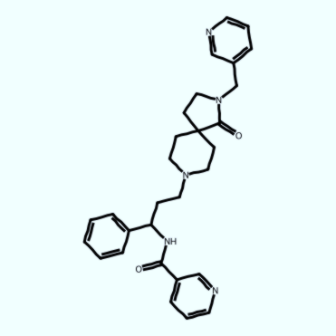 O=C(NC(CCN1CCC2(CC1)CCN(Cc1cccnc1)C2=O)c1ccccc1)c1cccnc1